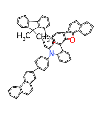 CC1(C)c2ccccc2-c2cccc(-c3ccc(N(c4ccc(-c5ccc6c(ccc7ccccc76)c5)cc4)c4ccccc4-c4cccc5c4oc4c6ccccc6ccc54)cc3)c21